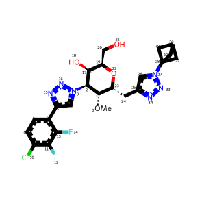 CO[C@@H]1[C@@H](n2cc(-c3ccc(Cl)c(F)c3F)nn2)[C@@H](O)[C@@H](CO)O[C@@H]1Cc1cn(C23CC(C2)C3)nn1